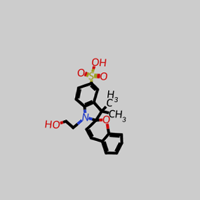 CC1(C)c2cc(S(=O)(=O)O)ccc2N(CCO)C12C=Cc1ccccc1O2